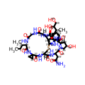 CC[C@H](C)[C@@H]1NC(=O)CNC(=O)[C@@H]2Cc3c([nH]c4ccccc34)SC[C@H](NC(=O)C3(CC3)NC1=O)C(=O)NC(CC(N)=O)C(=O)N1C[C@H](O)C[C@H]1C(=O)N[C@@H]([C@@H](C)[C@@H](O)CO)C(=O)N2